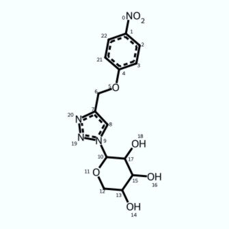 O=[N+]([O-])c1ccc(OCc2cn(C3OCC(O)C(O)C3O)nn2)cc1